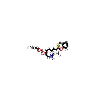 CCCCCCCCCOCOC1CCC(CCC(Oc2ccccc2)SC(C)=O)[SiH2]N(C)CC1